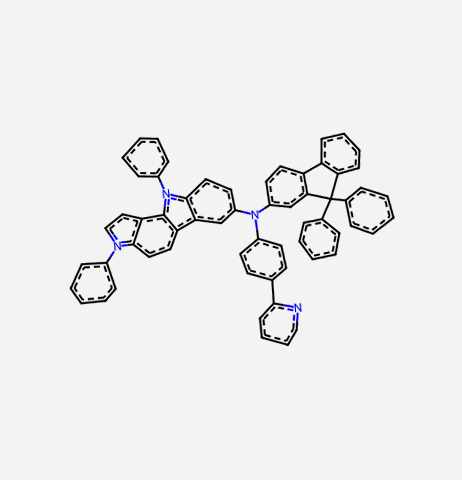 c1ccc(-n2ccc3c2ccc2c4cc(N(c5ccc(-c6ccccn6)cc5)c5ccc6c(c5)C(c5ccccc5)(c5ccccc5)c5ccccc5-6)ccc4n(-c4ccccc4)c23)cc1